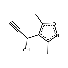 C#C[C@@H](O)c1c(C)noc1C